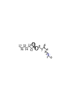 C/C=C/CCC(C)CCOC(=O)CCCCCC